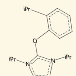 CC(C)c1ccccc1Oc1n(C(C)C)cc[n+]1C(C)C